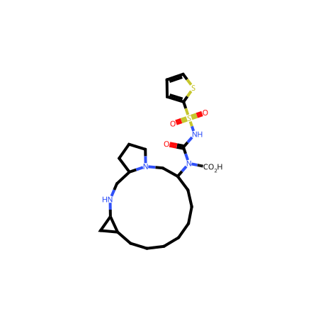 O=C(O)N(C(=O)NS(=O)(=O)c1cccs1)C1CCCCCCCC2CC2NCC2CCCN2C1